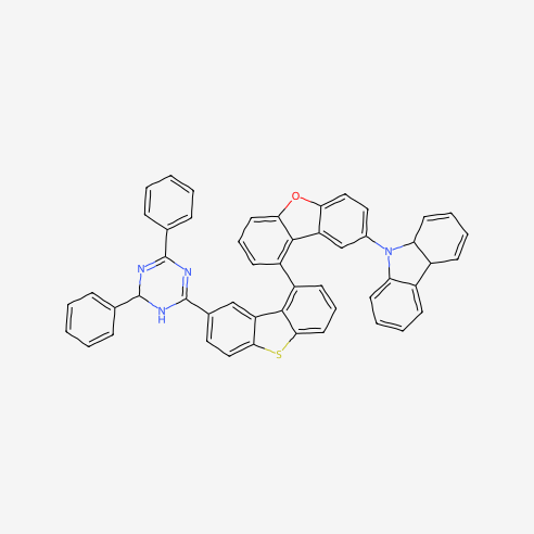 C1=CC2c3ccccc3N(c3ccc4oc5cccc(-c6cccc7sc8ccc(C9=NC(c%10ccccc%10)=NC(c%10ccccc%10)N9)cc8c67)c5c4c3)C2C=C1